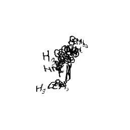 COC(C)COc1nc2[nH]cc(F)c2cc1Oc1cc(N2CCC3(CC2)CC(N2CCC[C@H]2c2ccccc2C(C)C)C3)ccc1C(=O)NS(=O)(=O)c1cc2c(c([N+](=O)[O-])c1)N[C@@H](C1CCC(C)(C)CC1)CO2